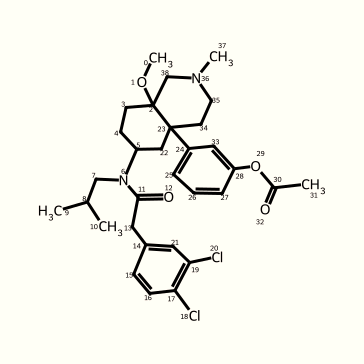 COC12CCC(N(CC(C)C)C(=O)Cc3ccc(Cl)c(Cl)c3)CC1(c1cccc(OC(C)=O)c1)CCN(C)C2